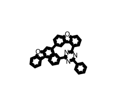 c1ccc(-c2nc(-c3ccccc3)nc(-c3cccc4oc5ccc(-c6ccc7c(c6)oc6ccccc67)cc5c34)n2)cc1